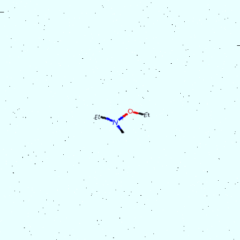 [CH2]CN(C)OCC